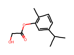 Cc1ccc(C(C)C)cc1OC(=O)CO